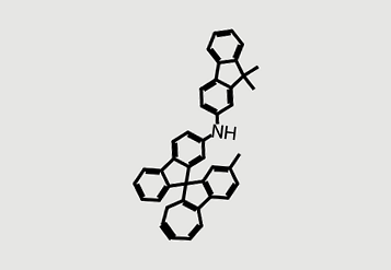 Cc1ccc2c(c1)C1(C3=C2C=CC#CC3)c2ccccc2-c2ccc(Nc3ccc4c(c3)C(C)(C)c3ccccc3-4)cc21